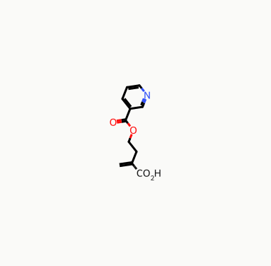 C=C(CCOC(=O)c1cccnc1)C(=O)O